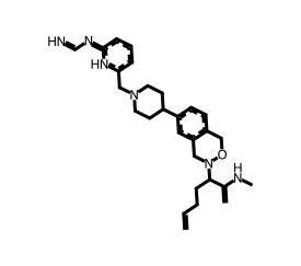 C=CCCC(C(=C)NC)N1Cc2cc(C3CCN(Cc4ccc/c(=N/C=N)[nH]4)CC3)ccc2CO1